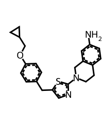 Nc1ccc2c(c1)CN(c1ncc(Cc3ccc(OCC4CC4)cc3)s1)CC2